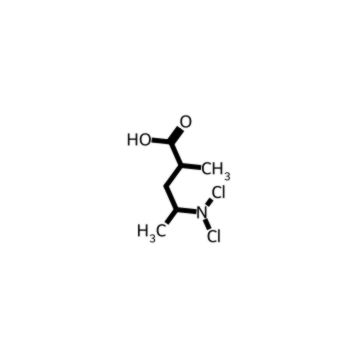 CC(CC(C)N(Cl)Cl)C(=O)O